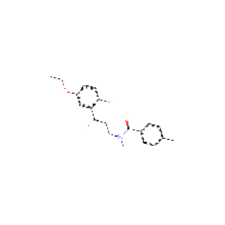 CCOc1ccc(F)c(C(C)CCN(C)C(=O)c2ccc(C)cc2)c1